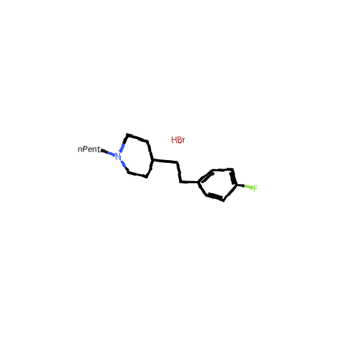 Br.CCCCCN1CCC(CCc2ccc(F)cc2)CC1